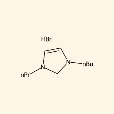 Br.CCCCN1C=CN(CCC)C1